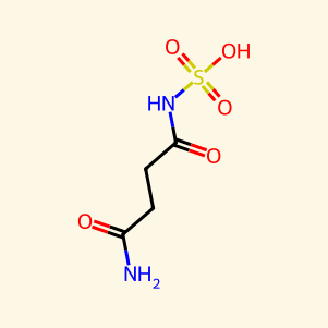 NC(=O)CCC(=O)NS(=O)(=O)O